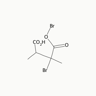 CC(C(=O)O)C(C)(Br)C(=O)OBr